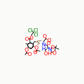 COC(=O)[C@@H](CSCc1c(OC(C)=O)cc(OC(C)=O)c(C)c1C(=O)OCC(Cl)(Cl)Cl)NC(=O)[C@H](CO)N(C=O)OC(C)(C)C